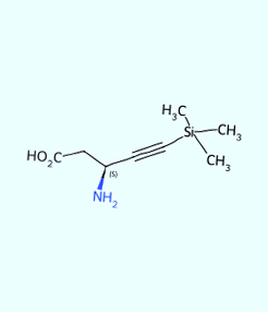 C[Si](C)(C)C#C[C@@H](N)CC(=O)O